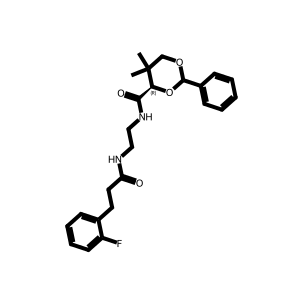 CC1(C)COC(c2ccccc2)O[C@H]1C(=O)NCCNC(=O)CCc1ccccc1F